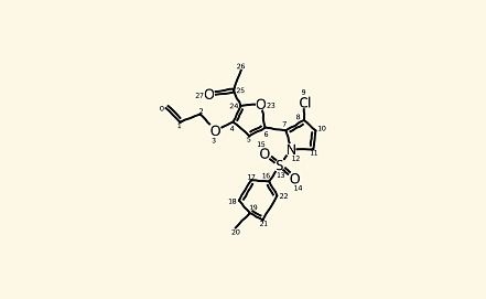 C=CCOc1cc(-c2c(Cl)ccn2S(=O)(=O)c2ccc(C)cc2)oc1C(C)=O